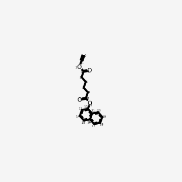 C#COC(=O)CCCCC(=O)Oc1cccc2ccccc12